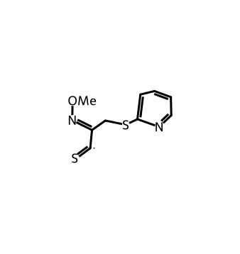 CO/N=C(/[C]=S)CSc1ccccn1